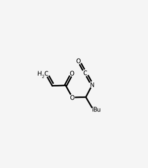 C=CC(=O)OC(N=C=O)C(C)CC